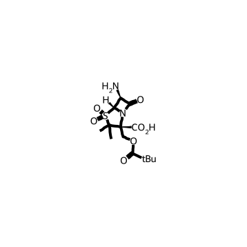 CC(C)(C)C(=O)OC[C@@]1(C(=O)O)N2C(=O)[C@H](N)[C@H]2S(=O)(=O)C1(C)C